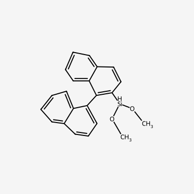 CO[SiH](OC)c1ccc2ccccc2c1-c1cccc2ccccc12